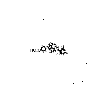 Cc1cc(Cl)c(CCN(CC(C)(C)C)C(=O)c2cnn([C@H]3CC[C@@H](C(=O)O)CC3)c2C(F)(F)F)c(Cl)c1